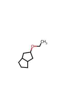 CCOC1CC2CCCC2C1